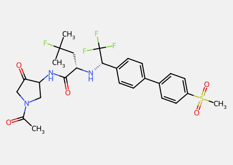 CC(=O)N1CC(=O)C(NC(=O)[C@H](CC(C)(C)F)N[C@@H](c2ccc(-c3ccc(S(C)(=O)=O)cc3)cc2)C(F)(F)F)C1